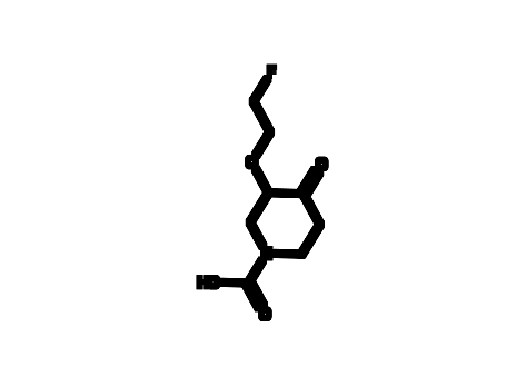 O=C1CCN(C(=O)O)CC1OCCF